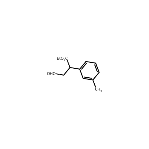 CCOC(=O)C(CC=O)c1cccc(C)c1